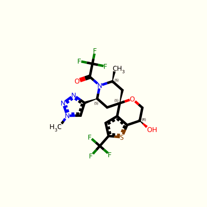 C[C@H]1C[C@@]2(C[C@@H](c3cn(C)nn3)N1C(=O)C(F)(F)F)OC[C@@H](O)c1sc(C(F)(F)F)cc12